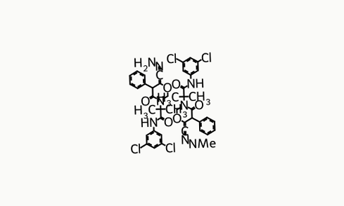 CC(C)(C(=O)Nc1cc(Cl)cc(Cl)c1)N1COC(=C=NN)C(c2ccccc2)C1=O.CNN=C=C1OCN(C(C)(C)C(=O)Nc2cc(Cl)cc(Cl)c2)C(=O)C1c1ccccc1